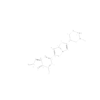 CC1CN(c2cc3sc(-c4cc(F)c5nn(C)cc5c4)nc3s2)CCN1